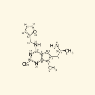 Cc1c(C[C@H](C)N)sc2c(NCc3ccco3)nc(Cl)nc12